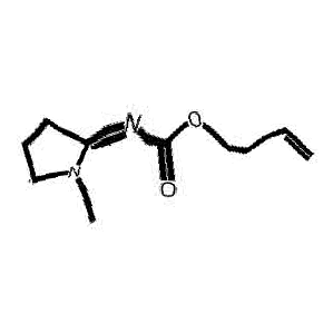 C=CCOC(=O)N=C1CC[CH]N1C